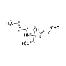 C=CC(C)(C=CCC=O)NCC=CC